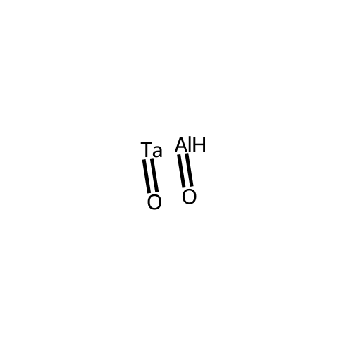 [O]=[AlH].[O]=[Ta]